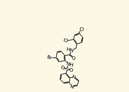 O=C(NCc1ccc(Cl)cc1Cl)c1ccc(Br)cc1NS(=O)(=O)c1cccc2nccnc12